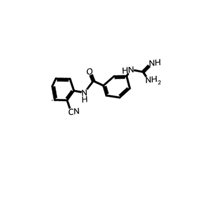 N#Cc1[c]cccc1NC(=O)c1cccc(NC(=N)N)c1